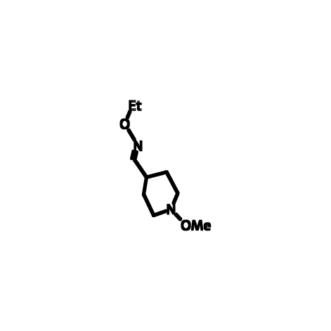 CCON=CC1CCN(OC)CC1